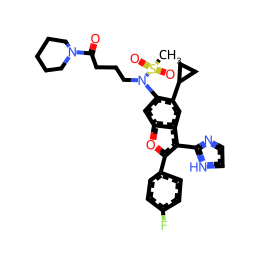 CS(=O)(=O)N(CCCC(=O)N1CCCCC1)c1cc2oc(-c3ccc(F)cc3)c(-c3ncc[nH]3)c2cc1C1CC1